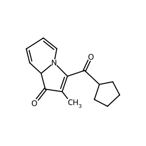 CC1=C(C(=O)C2CCCC2)N2C=CC=CC2C1=O